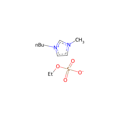 CCCC[n+]1ccn(C)c1.CCOS(=O)(=O)[O-]